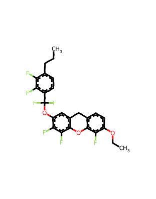 CCCc1ccc(C(F)(F)Oc2cc3c(c(F)c2F)Oc2c(ccc(OCC)c2F)C3)c(F)c1F